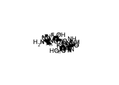 Nc1nc2c(nnn2[C@@H]2O[C@H](CO)[C@H](F)[C@H]2P(=O)(S)OCC2O[C@@H](n3ccc4c(N)ncnc43)[C@@H](F)[C@@H]2O)c(=O)[nH]1